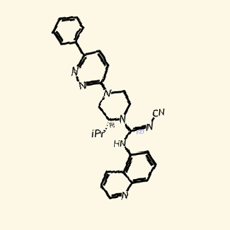 CC(C)[C@@H]1CN(c2ccc(-c3ccccc3)nn2)CCN1/C(=N\C#N)Nc1cccc2ncccc12